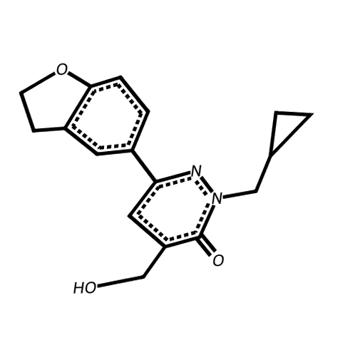 O=c1c(CO)cc(-c2ccc3c(c2)CCO3)nn1CC1CC1